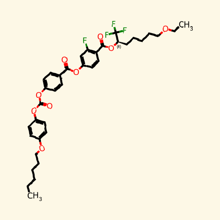 CCCCCCOc1ccc(OC(=O)Oc2ccc(C(=O)Oc3ccc(C(=O)O[C@H](CCCCCOCC)C(F)(F)F)c(F)c3)cc2)cc1